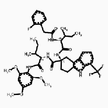 CCC(C)[C@H](NC(=O)Cc1ccccc1F)C(=O)N[C@]1(C(=O)N[C@H](C(=O)Nc2c(OC)cc(OC)cc2OC)C(C)CC)CCc2[nH]c3c(C(F)(F)F)cccc3c2C1